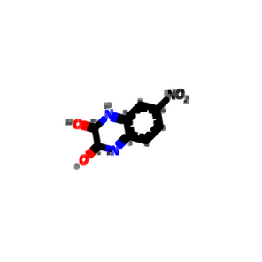 O=C1N=c2ccc([N+](=O)[O-])cc2=NC1=O